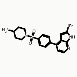 CC(C)c1cc2c(-c3ccc(S(=O)(=O)N4CCC(N)CC4)cc3)ccnc2[nH]1